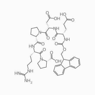 N=C(N)NCCC[C@H](NC(=O)[C@@H]1CCCN1C(=O)[C@H](CC(=O)O)NC(=O)[C@H](CCC(=O)O)NC(=O)OCC1c2ccccc2-c2ccccc21)C(=O)N1CCC[C@H]1C(=O)O